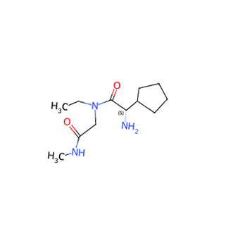 CCN(CC(=O)NC)C(=O)[C@@H](N)C1CCCC1